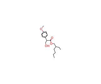 CCCCC(CC)COC(=O)C(CO)c1ccc(OC)cc1